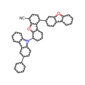 N#Cc1ccc(-c2ccc3c(c2)oc2ccccc23)c2c1oc1c(-n3c4ccccc4c4cc(-c5ccccc5)ccc43)cccc12